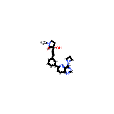 CN1CC[C@@](O)(C#Cc2cccc(-c3ccc4ncnc(N5CCC5)c4n3)c2)C1=O